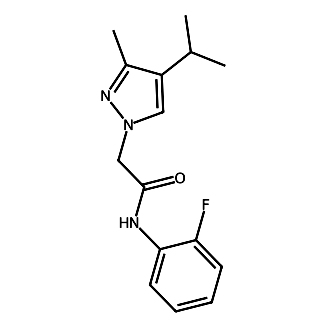 Cc1nn(CC(=O)Nc2ccccc2F)cc1C(C)C